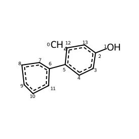 C.Oc1ccc(-c2ccccc2)cc1